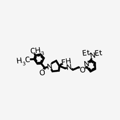 CCN(CC)c1cccc(OCCNCC2(F)CCN(C(=O)c3ccc(C)c(C)c3)CC2)n1